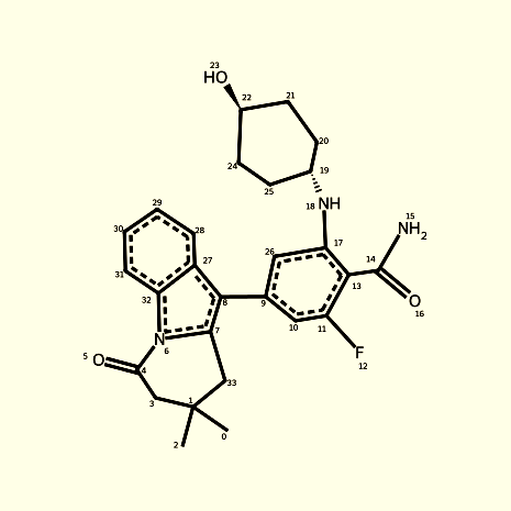 CC1(C)CC(=O)n2c(c(-c3cc(F)c(C(N)=O)c(N[C@H]4CC[C@H](O)CC4)c3)c3ccccc32)C1